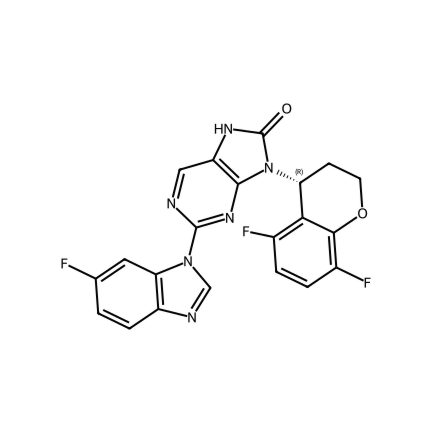 O=c1[nH]c2cnc(-n3cnc4ccc(F)cc43)nc2n1[C@@H]1CCOc2c(F)ccc(F)c21